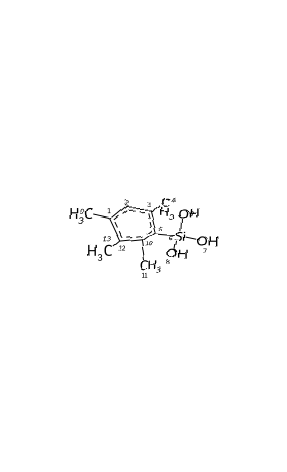 Cc1cc(C)c([Si](O)(O)O)c(C)c1C